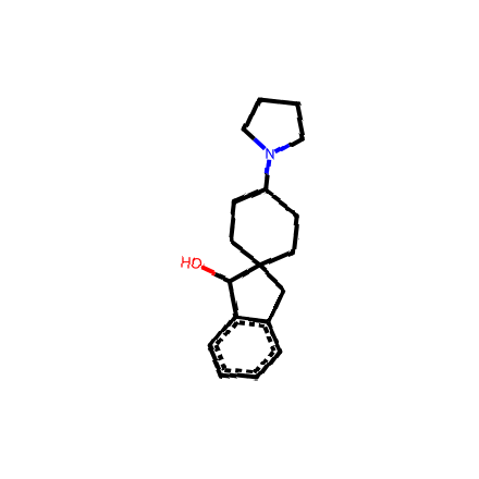 OC1c2ccccc2CC12CCC(N1CCCC1)CC2